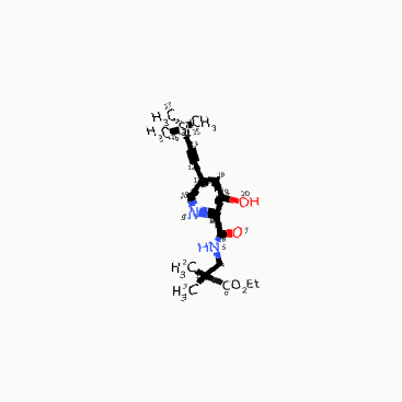 CCOC(=O)C(C)(C)CNC(=O)c1ncc(C#C[Si](C)(C)C)cc1O